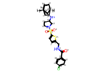 O=C(NCc1ccc(S(=O)(=O)N2CCC(N[C@@H]3C[C@@H]4CC[C@@H]3C4)C2)s1)c1ccc(Cl)cc1